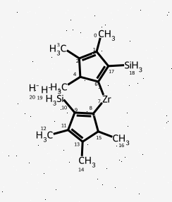 CC1=C(C)C(C)[C]([Zr][C]2=C([SiH3])C(C)=C(C)C2C)=C1[SiH3].[H-].[H-]